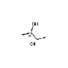 CC[C@@H](C)O.[KH]